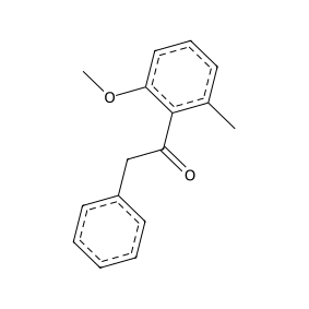 COc1cccc(C)c1C(=O)Cc1ccccc1